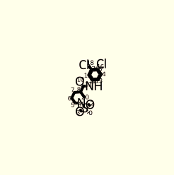 CS(=O)(=O)N1CCCC(C(=O)Nc2ccc(Cl)c(Cl)c2)C1